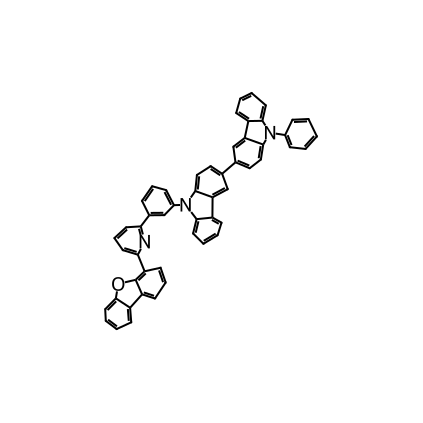 c1ccc(-n2c3ccccc3c3cc(-c4ccc5c(c4)c4ccccc4n5-c4cccc(-c5cccc(-c6cccc7c6oc6ccccc67)n5)c4)ccc32)cc1